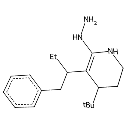 CCC(Cc1ccccc1)C1=C(NN)NCCC1C(C)(C)C